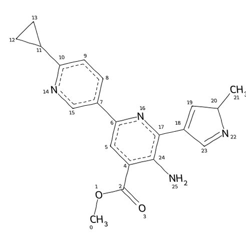 COC(=O)c1cc(-c2ccc(C3CC3)nc2)nc(C2=CC(C)N=C2)c1N